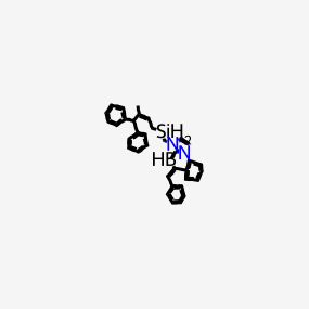 CC(=CC[SiH2]Cn1ccnc1BC(=Cc1ccccc1)c1ccccc1)C(c1ccccc1)c1ccccc1